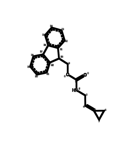 O=C(NCC=C1CC1)OCC1c2ccccc2-c2ccccc21